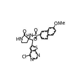 COc1ccc2ccc(S(=O)(=O)N[C@]3(Cc4cc5c(Cl)ncnc5s4)CCNC3=O)cc2c1